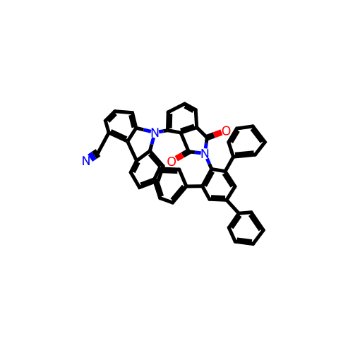 N#Cc1cccc2c1c1ccccc1n2-c1cccc2c1C(=O)N(c1c(-c3ccccc3)cc(-c3ccccc3)cc1-c1ccccc1)C2=O